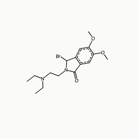 CCN(CC)CCN1C(=O)c2cc(OC)c(OC)cc2C1Br